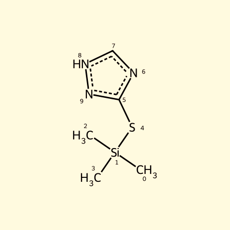 C[Si](C)(C)Sc1nc[nH]n1